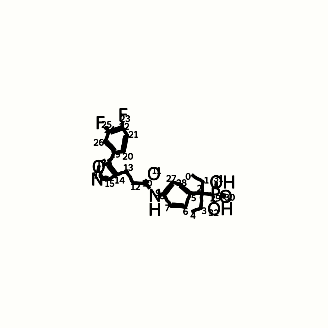 CCC(CC)(c1ccc(NC(=O)CCc2cnoc2-c2ccc(F)c(F)c2)cc1)P(=O)(O)O